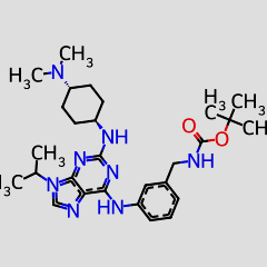 CC(C)n1cnc2c(Nc3cccc(CNC(=O)OC(C)(C)C)c3)nc(N[C@H]3CC[C@H](N(C)C)CC3)nc21